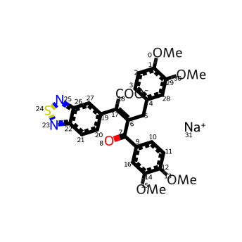 COc1ccc(C/C(C(=O)c2ccc(OC)c(OC)c2)=C(\C(=O)[O-])c2ccc3nsnc3c2)cc1OC.[Na+]